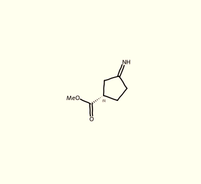 COC(=O)[C@H]1CCC(=N)C1